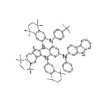 CC(C)(C)c1ccc(N2c3cc4c(cc3B3c5sc6cc7c(cc6c5N(c5ccc6c(c5)C(C)(C)CCC6(C)C)c5cc(N(c6ccccc6)c6ccc8c(c6)sc6ccccc68)cc2c53)C(C)(C)CCC7(C)C)C(C)(C)CCC4(C)C)cc1